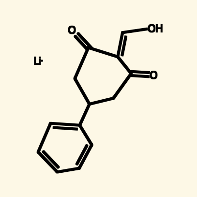 O=C1CC(c2ccccc2)CC(=O)C1=CO.[Li]